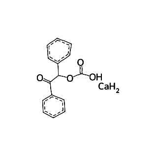 O=C(O)OC(C(=O)c1ccccc1)c1ccccc1.[CaH2]